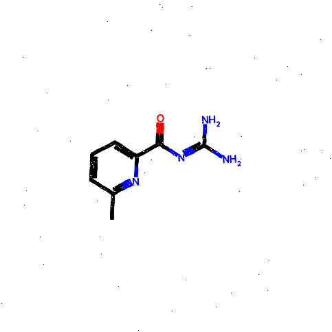 Cc1cccc(C(=O)N=C(N)N)n1